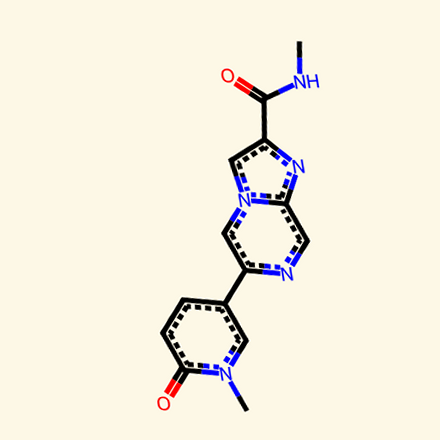 CNC(=O)c1cn2cc(-c3ccc(=O)n(C)c3)ncc2n1